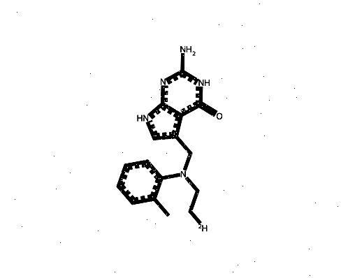 [2H]CCN(Cc1c[nH]c2nc(N)[nH]c(=O)c12)c1ccccc1C